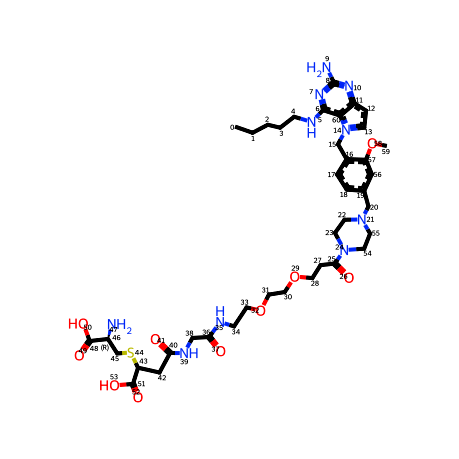 CCCCCNc1nc(N)nc2ccn(Cc3ccc(CN4CCN(C(=O)CCOCCOCCNC(=O)CNC(=O)CC(SC[C@H](N)C(=O)O)C(=O)O)CC4)cc3OC)c12